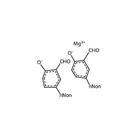 CCCCCCCCCc1ccc([O-])c(C=O)c1.CCCCCCCCCc1ccc([O-])c(C=O)c1.[Mg+2]